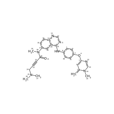 C=C1C=C(Oc2ccc(Nc3ncnc4ccc(N(C)C(=O)C#CCN(C)C)cc34)cc2)N=CN1C